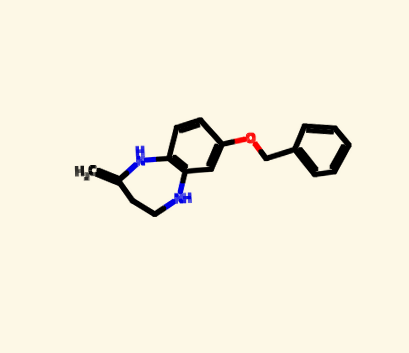 C=C1CCNc2cc(OCc3ccccc3)ccc2N1